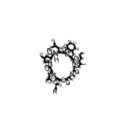 CCCC[C@@H](C)C[C@@H]1NC(=O)[C@H](CC2CCCCC2)N(C)C(=O)C(CC(C)C)NC(=O)C(CC(C)C)N(C)C(=O)[C@H](CC(C)C)NC(=O)[C@@H](CCC#N)OC(=O)C(C)N(C)C1=O